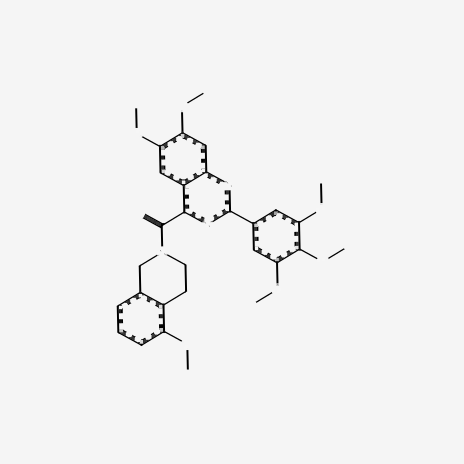 COc1cc2nc(-c3cc(OC)c(OC)c(OC)c3)nc(C(=O)N3CCc4c(cccc4OC)C3)c2cc1OC